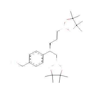 CC1(C)OB(CCC[C@@H](CB2OC(C)(C)C(C)(C)O2)c2ccc(CO)cc2)OC1(C)C